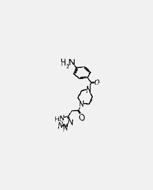 Nc1ccc(C(=O)N2CCN(C(=O)Cc3nnn[nH]3)CC2)cc1